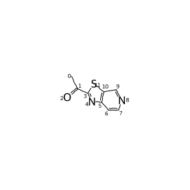 CC(=O)c1nc2ccncc2s1